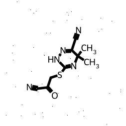 CC1(C)N=C(SCC(=O)C#N)NN=C1C#N